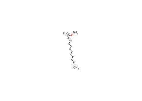 CCCCCCCCCCCCC(C)O[SiH3]